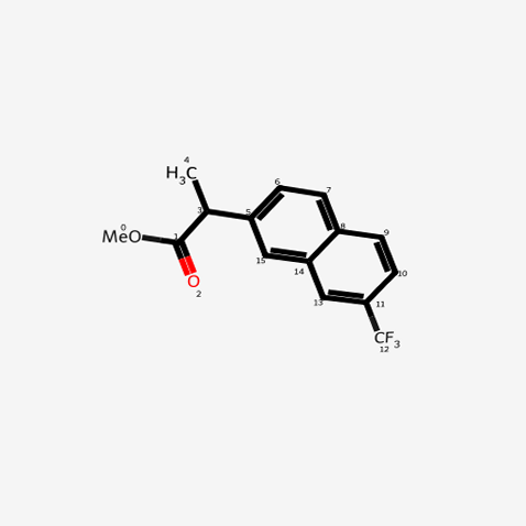 COC(=O)C(C)c1ccc2ccc(C(F)(F)F)cc2c1